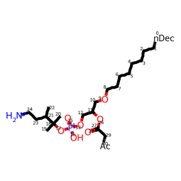 CCCCCCCCCCCCCCCCCCOCC(COP(=O)(O)OC(C)(C)C(C)CCN)OC(=O)CC(C)=O